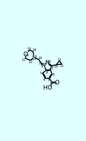 O=C(O)c1ccc2c(c1)c(C1CC1)nn2CCN1CCOCC1